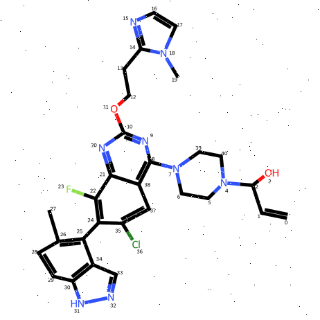 C=CC(O)N1CCN(c2nc(OCCc3nccn3C)nc3c(F)c(-c4c(C)ccc5[nH]ncc45)c(Cl)cc23)CC1